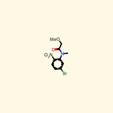 COCC(=O)N(C)c1cc(Br)ccc1[N+](=O)[O-]